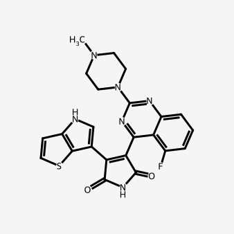 CN1CCN(c2nc(C3=C(c4c[nH]c5ccsc45)C(=O)NC3=O)c3c(F)cccc3n2)CC1